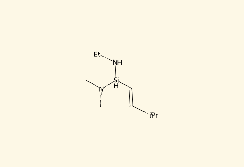 CCN[SiH](C=CC(C)C)N(C)C